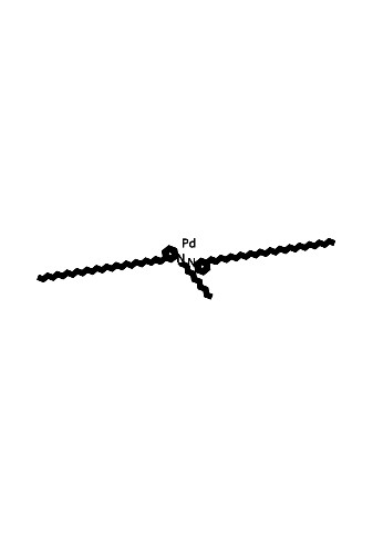 CCCCCCCCCCCCCCCCCCCCCCCCC=Cc1cccc(N=CC(CCCCCCCC)=Nc2cccc(C=CCCCCCCCCCCCCCCCCCCCCCCCC)c2)c1.[Pd]